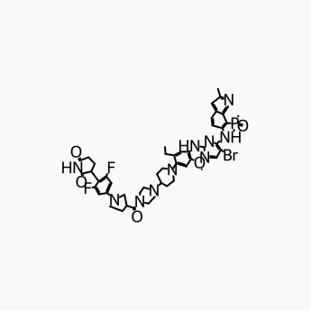 CCc1cc(Nc2ncc(Br)c(Nc3ccc4cc(C)ncc4c3P(C)(C)=O)n2)c(OC)cc1N1CCC(N2CCN(C(=O)C3CCN(c4cc(F)c(C5CCC(=O)NC5=O)c(F)c4)C3)CC2)CC1